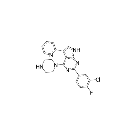 Fc1ccc(-c2nc(N3CCNCC3)c3c(-c4ccccn4)c[nH]c3n2)cc1Cl